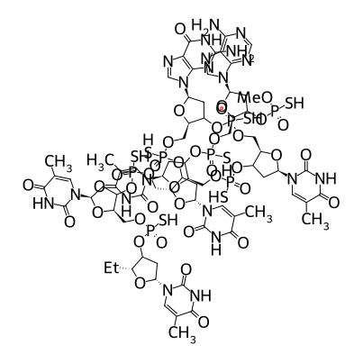 CC[C@H]1O[C@@H](n2cc(C)c(=O)[nH]c2=O)CC1OP(=O)(S)OC[C@H]1O[C@@H](n2cc(C)c(=O)[nH]c2=O)CC1OP(=O)(S)OC[C@H]1O[C@@H](n2cc(C)c(=O)[nH]c2=O)CC1OP(=O)(S)OC[C@H]1O[C@@H](n2cnc3c(=O)[nH]c(N)nc32)CC1OP(=O)(S)OC[C@H]1O[C@@H](n2cc(C)c(=O)[nH]c2=O)CC1OP(=O)(S)OC[C@H]1O[C@@H](n2cc(C)c(=O)[nH]c2=O)CC1OP(=O)(S)OC[C@H]1O[C@@H](n2cnc3c(N)ncnc32)CC1OP(=O)(S)OC